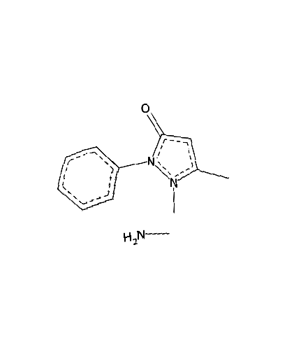 CN.Cc1cc(=O)n(-c2ccccc2)n1C